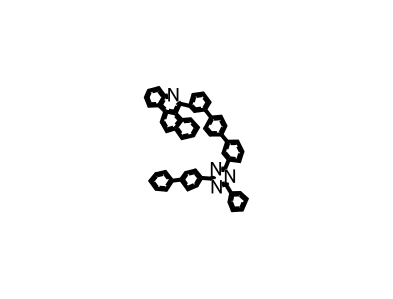 c1ccc(-c2ccc(-c3nc(-c4ccccc4)nc(-c4cccc(-c5ccc(-c6cccc(-c7nc8ccccc8c8ccc9ccccc9c78)c6)cc5)c4)n3)cc2)cc1